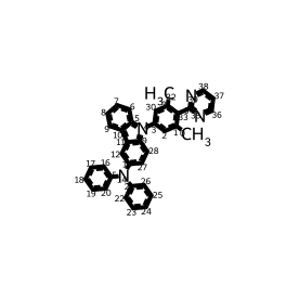 Cc1cc(-n2c3ccccc3c3cc(N(c4ccccc4)c4ccccc4)ccc32)cc(C)c1-c1ncccn1